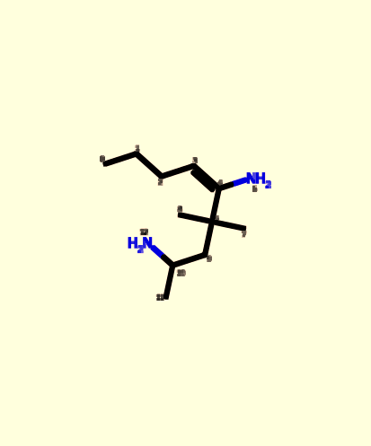 CCC/C=C(/N)C(C)(C)CC(C)N